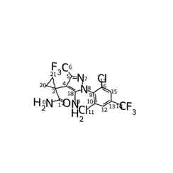 NC(=O)C1(c2c(C(F)(F)F)nn(-c3c(Cl)cc(C(F)(F)F)cc3Cl)c2N)CC1